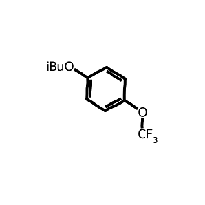 CC(C)COc1ccc(OC(F)(F)F)cc1